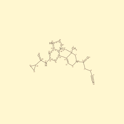 CC1(C)CN(C(=O)CCC#N)CC=C1c1cc(NC(=O)C2CC2)nc2[nH]ccc12